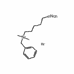 CCCCCCCCCCCCCC[N+](C)(C)Cc1ccccc1.[Br-]